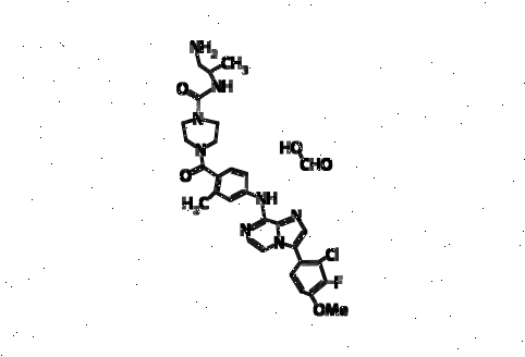 COc1ccc(-c2cnc3c(Nc4ccc(C(=O)N5CCN(C(=O)NC(C)CN)CC5)c(C)c4)nccn23)c(Cl)c1F.O=CO